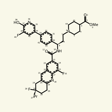 COC(=O)C1CCN(CC[C@@H](NC(=O)c2cc(F)c3nc4c(cc3c2)C[C@](F)(C(C)C)CC4)c2ccc(-c3cnc(O)c(F)c3)cc2)CC1